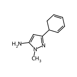 Cn1nc(C2C=CC=CC2)cc1N